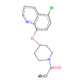 CC(C)COC(=O)N1CCC(Oc2ccc(Br)c3cccnc23)CC1